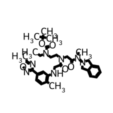 CCN(CCN(CC(=O)N(C)N1Cc2ccccc2C1)C(=O)CNc1cc(-c2noc(C)n2)ccc1C)C(=O)OC(C)(C)C